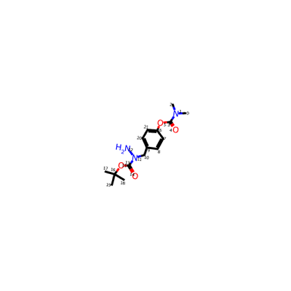 CN(C)C(=O)Oc1ccc(CN(N)C(=O)OC(C)(C)C)cc1